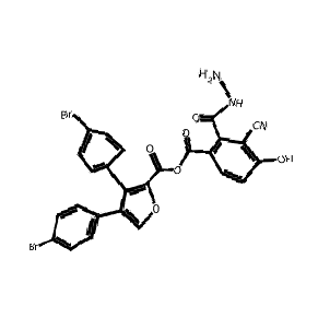 N#Cc1c(O)ccc(C(=O)OC(=O)c2occ(-c3ccc(Br)cc3)c2-c2ccc(Br)cc2)c1C(=O)NN